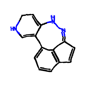 C1=Cc2cccc3c2C1=NNC1=CCNC=C13